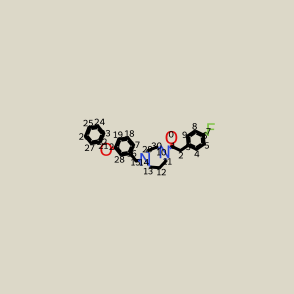 O=C(Cc1ccc(F)cc1)N1CCCN(Cc2cccc(Oc3ccccc3)c2)CC1